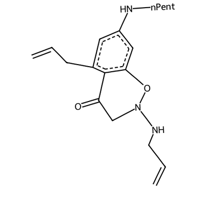 C=CCNN1CC(=O)c2c(CC=C)cc(NCCCCC)cc2O1